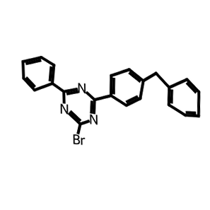 Brc1nc(-c2ccccc2)nc(-c2ccc(Cc3ccccc3)cc2)n1